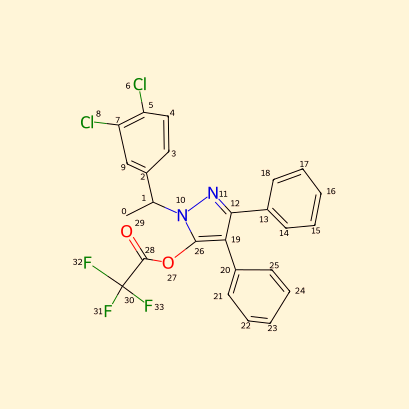 CC(c1ccc(Cl)c(Cl)c1)n1nc(-c2ccccc2)c(-c2ccccc2)c1OC(=O)C(F)(F)F